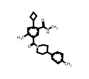 CNC(=O)c1cc(C(=O)N2CCC(c3ccc(C)cc3)CC2)c(C)cc1C1CCC1